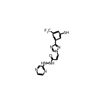 O=C(/C=C\n1cnc(-c2cc(S)cc(C(F)(F)F)c2)n1)NNc1cnccn1